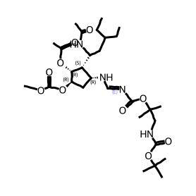 CCC(CC)CC(NC(C)=O)[C@H]1[C@@H](OC(C)=O)[C@H](OC(=O)OC)C[C@H]1N/C=N/C(=O)OC(C)(C)CNC(=O)OC(C)(C)C